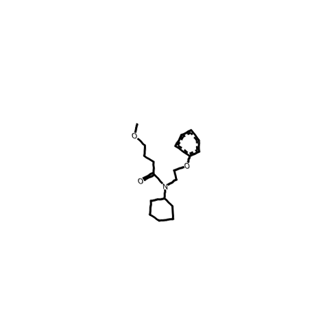 COCCCC(=O)N(CCOc1ccccc1)C1CCCCC1